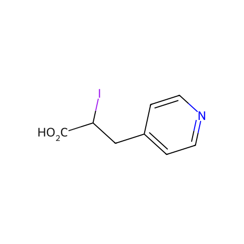 O=C(O)C(I)Cc1ccncc1